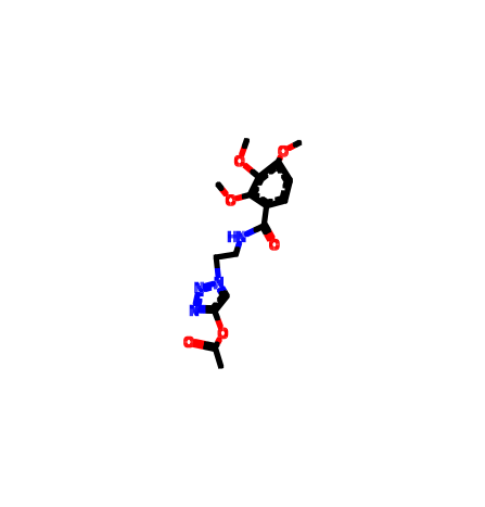 COc1ccc(C(=O)NCCn2cc(OC(C)=O)nn2)c(OC)c1OC